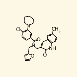 Cc1ccc2[nH]c(=O)c(CN(Cc3ccco3)C(=O)c3ccc(Cl)c(N4CCCCC4)c3)cc2c1